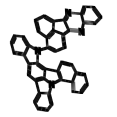 c1ccc2c(c1)ccc1c3c4c(cc5c6ccccc6n(c21)c53)c1ccccc1n4-c1ccc2c3c(cccc13)-c1nc3ccccc3nc1-2